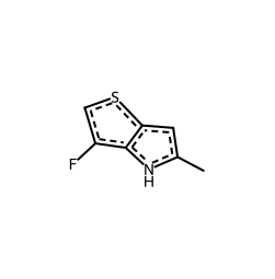 Cc1cc2scc(F)c2[nH]1